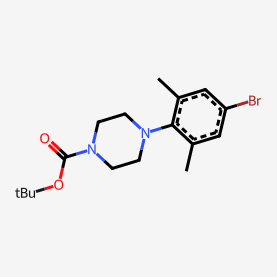 Cc1cc(Br)cc(C)c1N1CCN(C(=O)OC(C)(C)C)CC1